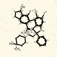 C[C@]1(O)CC[C@H](NC[C@@]2(c3ccccc3)Cc3c(cc(F)c(Cl)c3-c3c(C(N)=O)cc4c(c3F)[C@H](O)CC4)O2)CC1